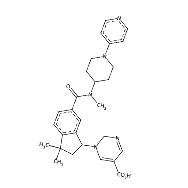 CN(C(=O)c1ccc2c(c1)C(N1C=C(C(=O)O)C=NC1)CC2(C)C)C1CCN(c2ccncc2)CC1